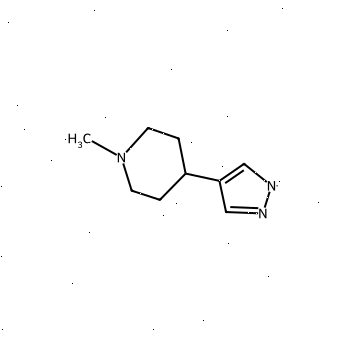 CN1CCC(C2=C[N]N=C2)CC1